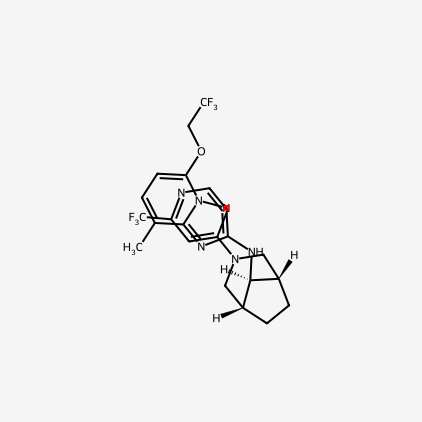 Cc1ccc(OCC(F)(F)F)n2nc(N[C@@H]3[C@@H]4CC[C@H]3CN(c3ccnc(C(F)(F)F)c3)C4)nc12